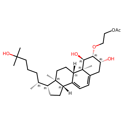 CC(=O)OCCO[C@@H]1[C@H](O)CC2=CC=C3[C@@H]4CC[C@H]([C@H](C)CCCC(C)(C)O)[C@@]4(C)CC[C@@H]3[C@@]2(C)[C@H]1O